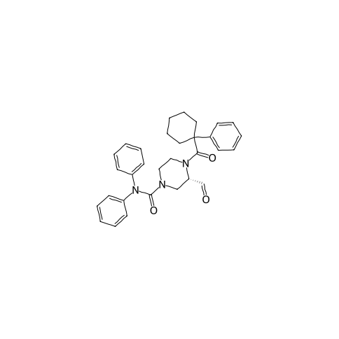 O=C[C@@H]1CN(C(=O)N(c2ccccc2)c2ccccc2)CCN1C(=O)C1(c2ccccc2)CCCCC1